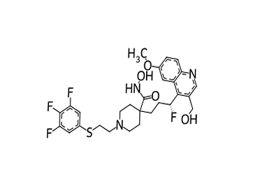 COc1ccc2ncc(CO)c([C@H](F)CCC3(C(=O)NO)CCN(CCSc4cc(F)c(F)c(F)c4)CC3)c2c1